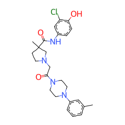 Cc1cccc(N2CCN(C(=O)CN3CCC(C)(C(=O)Nc4ccc(O)c(Cl)c4)C3)CC2)c1